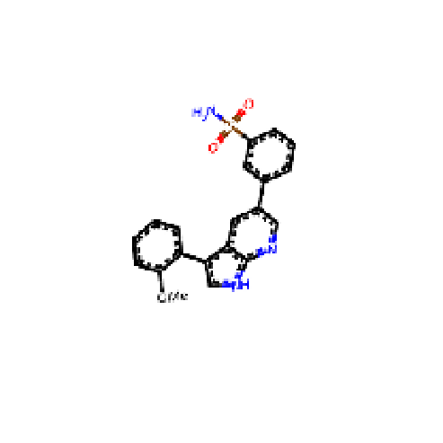 COc1ccccc1-c1c[nH]c2ncc(-c3cccc(S(N)(=O)=O)c3)cc12